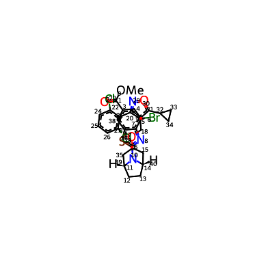 COC(=O)c1cc(Br)c2nc(N3[C@@H]4CC[C@H]3CC(OCc3c(-c5c(Cl)cccc5Cl)noc3C3CC3)C4)sc2c1